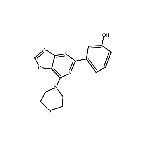 Oc1cccc(-c2nc(N3CCOCC3)c3ocnc3n2)c1